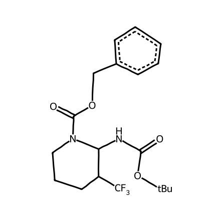 CC(C)(C)OC(=O)NC1C(C(F)(F)F)CCCN1C(=O)OCc1ccccc1